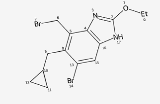 CCOc1nc2c(CBr)c(CC3CC3)c(Br)cc2[nH]1